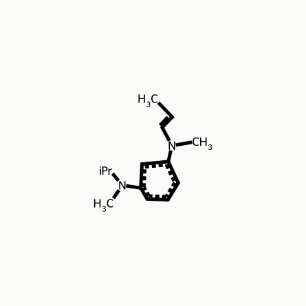 C/C=C/N(C)c1cccc(N(C)C(C)C)c1